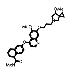 CNC(=O)c1cccc2cc(Oc3ccnc4cc(OCCCN5CC(OC)C6(CC6)C5)c(OC)cc34)ccc12